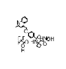 Cc1cc(COc2ccc(C(=O)NC3(CC(=O)NO)CCC3)cc2)c2ccccc2n1.O=C(O)C(F)(F)F